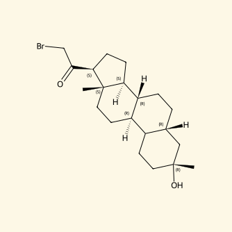 C[C@@]1(O)CCC2[C@H](CC[C@@H]3[C@@H]2CC[C@]2(C)[C@@H](C(=O)CBr)CC[C@@H]32)C1